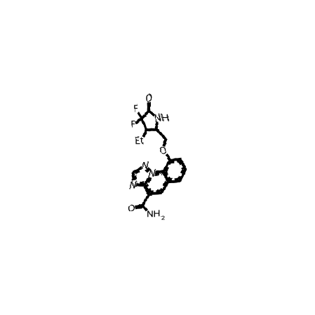 CCC1C(COc2cccc3cc(C(N)=O)c4ncnn4c23)NC(=O)C1(F)F